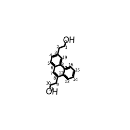 OCCc1ccc2cc(CCO)c3ccccc3c2c1